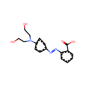 O=C(O)c1ccccc1N=Nc1ccc(N(CCO)CCO)cc1